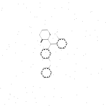 CN(C)c1ccccc1C(c1cccc(Oc2ccccc2)c1)C1CCCCC1=O